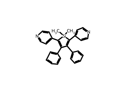 C[Si]1(C)C(c2ccncc2)=C(c2ccccc2)C(c2ccccc2)=C1c1ccncc1